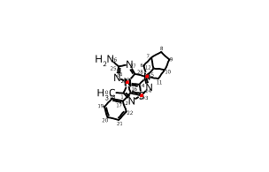 Cc1nsc(N2CC3CCC(C2)C3c2ncc(-c3ccccc3)n3nc(N)nc23)n1